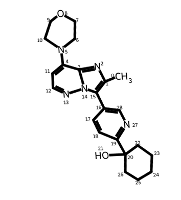 Cc1nc2c(N3CCOCC3)ccnn2c1-c1ccc(C2(O)CCCCC2)nc1